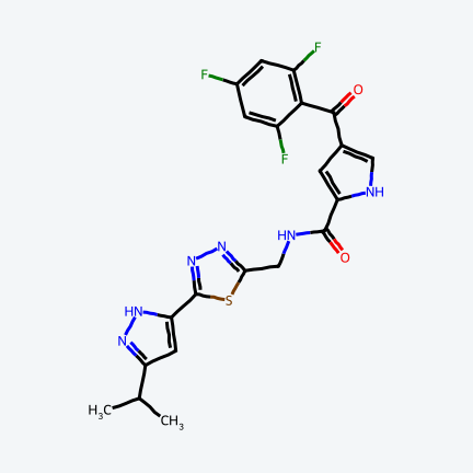 CC(C)c1cc(-c2nnc(CNC(=O)c3cc(C(=O)c4c(F)cc(F)cc4F)c[nH]3)s2)[nH]n1